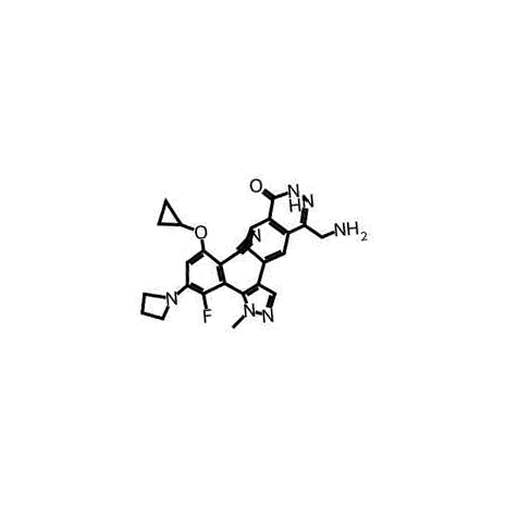 Cn1ncc(-c2ccc3c(=O)[nH]nc(CN)c3c2)c1-c1c(F)c(N2CCC2)cc(OC2CC2)c1C#N